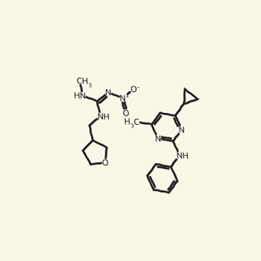 CN/C(=N/[N+](=O)[O-])NCC1CCOC1.Cc1cc(C2CC2)nc(Nc2ccccc2)n1